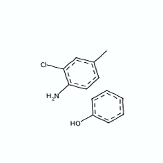 Cc1ccc(N)c(Cl)c1.Oc1ccccc1